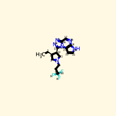 CC[C@@H]1CN(CCC(F)(F)F)C[C@@H]1c1nnc2cnc3[nH]ccc3n12